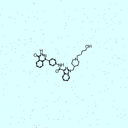 O=C(Nc1ccc(-c2n[nH]c(=O)c3ccccc23)cc1)c1nn(CC2CCN(CCCCO)CC2)c2ccccc12